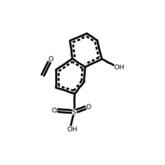 C=O.O=S(=O)(O)c1ccc2cccc(O)c2c1